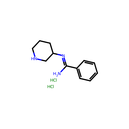 Cl.Cl.NC(=NC1CCCNC1)c1ccccc1